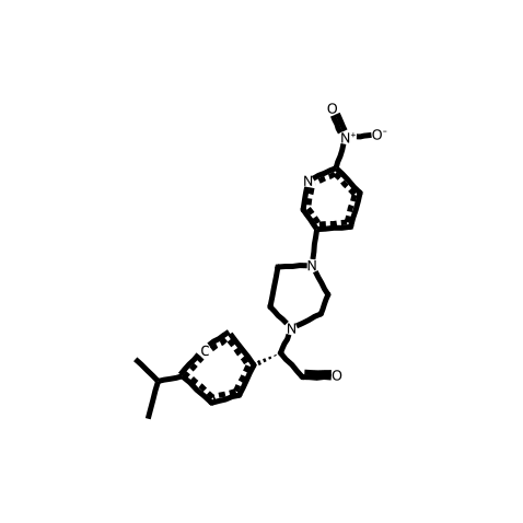 CC(C)c1ccc([C@@H](C=O)N2CCN(c3ccc([N+](=O)[O-])nc3)CC2)cc1